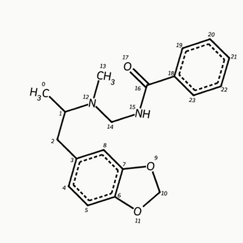 CC(Cc1ccc2c(c1)OCO2)N(C)CNC(=O)c1ccccc1